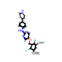 COc1cc(OC)c(F)c(COc2cnc(Nc3ccc(C4CCNCC4)cc3)nc2)c1F